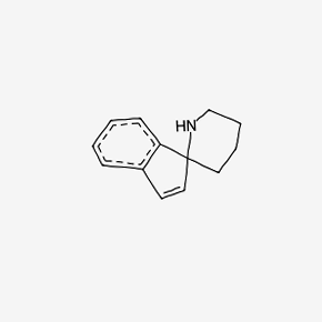 C1=CC2(CCCCN2)c2ccccc21